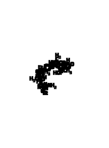 CCOc1nc(N)nc2c1ncn2[C@@H]1O[C@@H]2COP(=O)(OC(C)(CC)C3=CC=C(OP(=O)(N[C@@H](C)C(=O)OC(C)C)OC[C@H]4O[C@@H](n5ccc(=O)[nH]c5=O)[C@](C)(F)[C@@H]4O)C=CC3)O[C@H]2[C@@]1(C)F